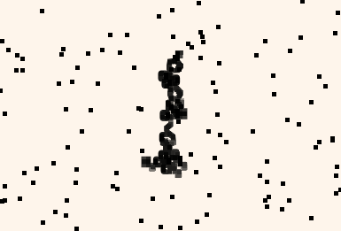 CC(C)(C)OC(=O)N1CCC(CCC(=O)Nc2nc3ccc(OS(=O)(=O)c4ccc(F)cc4)cc3s2)CC1